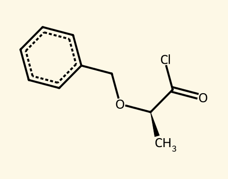 C[C@@H](OCc1ccccc1)C(=O)Cl